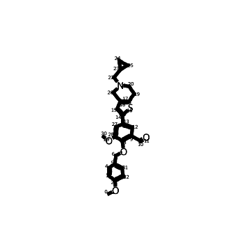 COc1ccc(COc2c(C=O)cc(-c3cc4c(s3)CCN(CC3CC3)C4)cc2OC)cc1